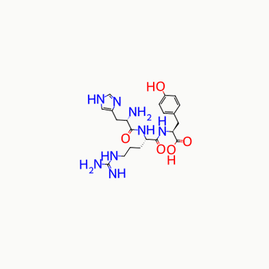 N=C(N)NCCC[C@H](NC(=O)[C@@H](N)Cc1c[nH]cn1)C(=O)N[C@@H](Cc1ccc(O)cc1)C(=O)O